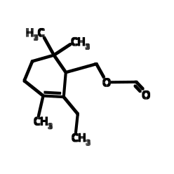 CCC1=C(C)CCC(C)(C)C1COC=O